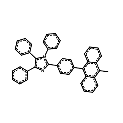 Cc1c2ccccc2c(-c2ccc(-c3nc(-c4ccccc4)c(-c4ccccc4)n3-c3ccccc3)cc2)c2ccccc12